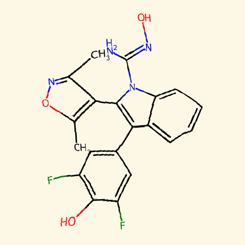 Cc1noc(C)c1-c1c(-c2cc(F)c(O)c(F)c2)c2ccccc2n1/C(N)=N/O